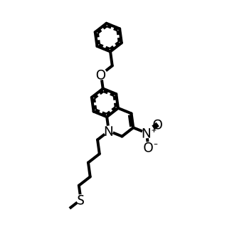 CSCCCCCN1CC([N+](=O)[O-])=Cc2cc(OCc3ccccc3)ccc21